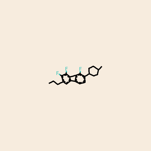 CCCc1cc2c(c(F)c1F)-c1c-2ccc(C2CCC(C)CC2)c1F